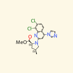 COC(=O)[C@@H]1C[C@H](C)CN1c1cc(-n2ccnc2)c2ccc(Cl)c(Cl)c2n1